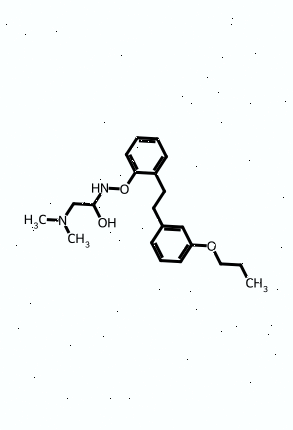 CCCOc1cccc(CCc2ccccc2ONC(O)CN(C)C)c1